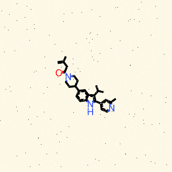 C=C(C)CC(=O)N1CCC(c2ccc3[nH]c(-c4ccnc(C)c4)c(C(C)C)c3c2)CC1